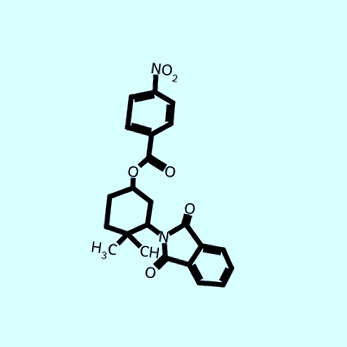 CC1(C)CCC(OC(=O)c2ccc([N+](=O)[O-])cc2)CC1N1C(=O)c2ccccc2C1=O